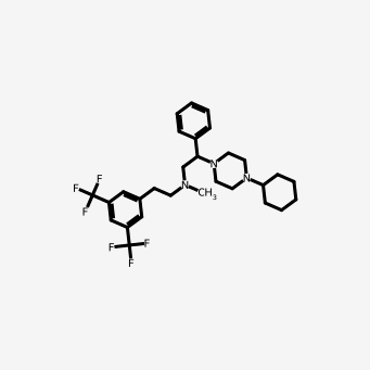 CN(CCc1cc(C(F)(F)F)cc(C(F)(F)F)c1)CC(c1ccccc1)N1CCN(C2CCCCC2)CC1